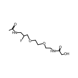 CC(=O)NCC(F)COCCOCCNC(=O)CO